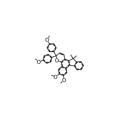 COc1ccc(C2(c3ccc(OC)cc3)C=Cc3c4c(c5cc(OC)c(OC)cc5c3O2)-c2ccccc2C4(C)C)cc1